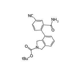 CC(C)(C)OC(=O)N1Cc2cccc(-c3ccc(C#N)cc3C(N)=O)c2C1